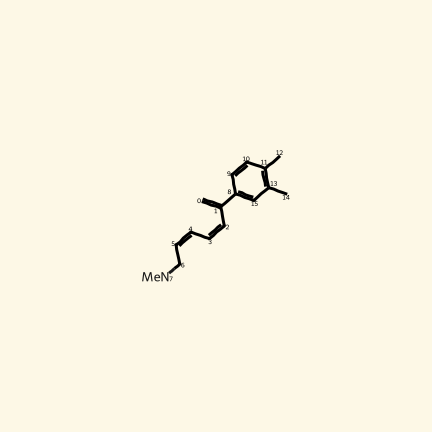 C=C(/C=C\C=C/CNC)c1ccc(C)c(C)c1